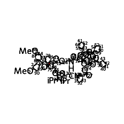 COc1ccc(C(O[C@H]2CC(C(=O)COCCNC(=O)CO[C@H]3OC(COC(=O)c4ccccc4)[C@@H](OC(=O)c4ccccc4)[C@@H](OC(=O)c4ccccc4)C3OC(=O)c3ccccc3)[C@H](COP(OCCC#N)N(C(C)C)C(C)C)C2)(c2ccccc2)c2ccc(OC)cc2)cc1